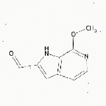 COc1nccc2cc(C=O)[nH]c12